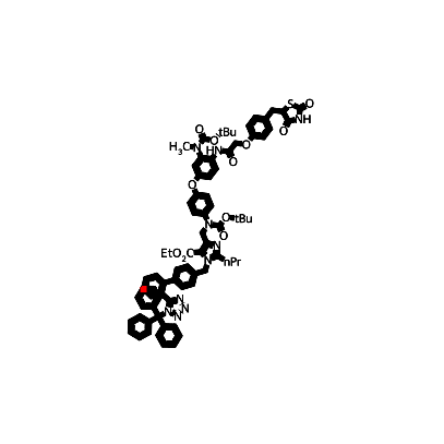 CCCc1nc(CN(C(=O)OC(C)(C)C)c2ccc(Oc3ccc(NC(=O)COc4ccc(CC5SC(=O)NC5=O)cc4)c(N(C)C(=O)OC(C)(C)C)c3)cc2)c(C(=O)OCC)n1Cc1ccc(-c2ccccc2-c2nnnn2C(c2ccccc2)(c2ccccc2)c2ccccc2)cc1